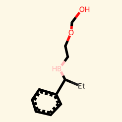 CCC(BCCOCO)c1ccccc1